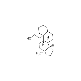 C[C@@]12CCC[C@H]1[C@@H]1CCC3CCCC[C@]3(CCO)[C@H]1CC2